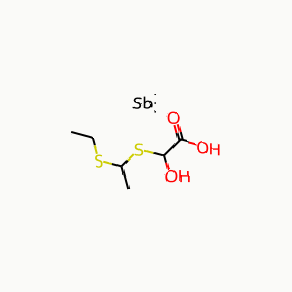 CCSC(C)SC(O)C(=O)O.[Sb]